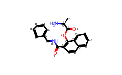 C[C@H](N)C(=O)Oc1c(C(=O)NCc2ccccc2)ccc2ccccc12